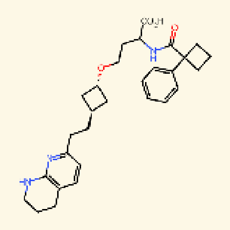 O=C(O)C(CCO[C@H]1C[C@H](CCc2ccc3c(n2)NCCC3)C1)NC(=O)C1(c2ccccc2)CCC1